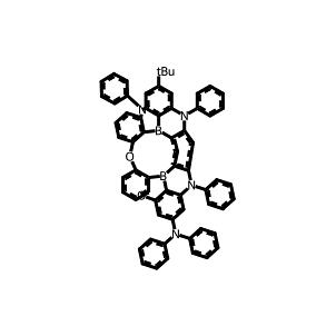 CC(C)(C)c1cc2c3c(c1)N(c1ccccc1)c1cccc4c1B3c1cc3c(cc1N2c1ccccc1)N(c1ccccc1)c1cc(N(c2ccccc2)c2ccccc2)cc2c1B3c1c(cccc1O4)O2